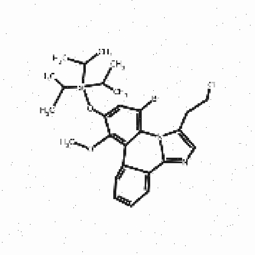 COc1c(O[Si](C(C)C)(C(C)C)C(C)C)cc(Br)c2c1c1ccccc1c1ncc(CCCl)n12